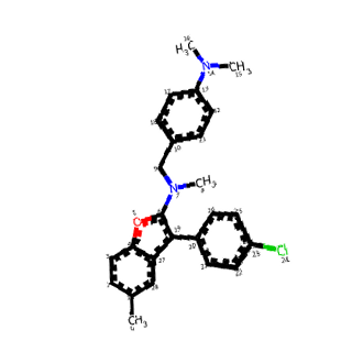 Cc1ccc2oc(N(C)Cc3ccc(N(C)C)cc3)c(-c3ccc(Cl)cc3)c2c1